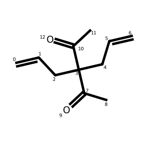 C=CCC(CC=C)(C(C)=O)C(C)=O